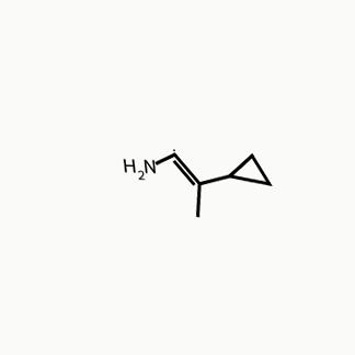 C/C(=[C]\N)C1CC1